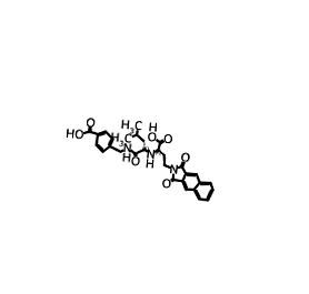 CC(C)C[C@H](N[C@H](CCN1C(=O)c2cc3ccccc3cc2C1=O)C(=O)O)C(=O)NCc1ccc(C(=O)O)cc1